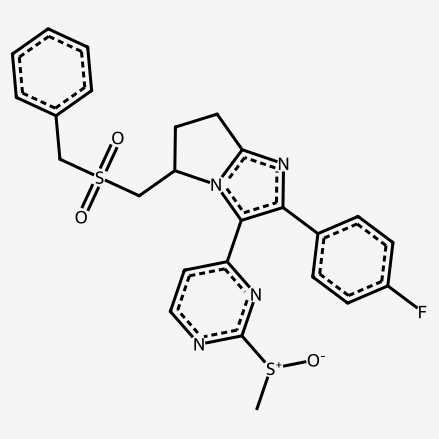 C[S+]([O-])c1nccc(-c2c(-c3ccc(F)cc3)nc3n2C(CS(=O)(=O)Cc2ccccc2)CC3)n1